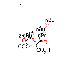 CCCC(=O)CC(=O)O.CCCC(=O)CC(=O)[O-].CCCC[O-].CCCC[O-].CCCC[O-].[Zr+4]